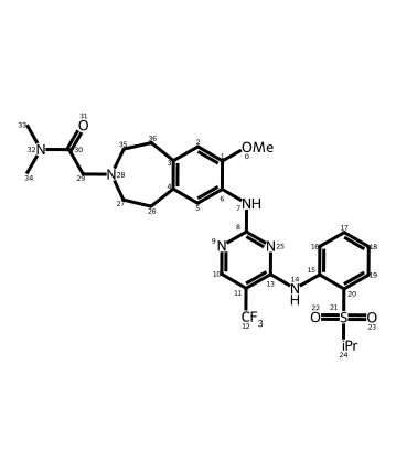 COc1cc2c(cc1Nc1ncc(C(F)(F)F)c(Nc3ccccc3S(=O)(=O)C(C)C)n1)CCN(CC(=O)N(C)C)CC2